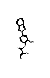 CC=C(O)C(=O)Oc1ccc(-n2nc3ccccc3n2)cc1C(C)(C)C